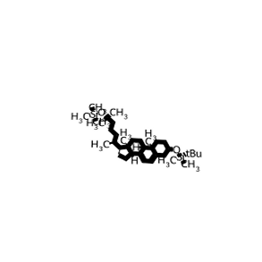 C[C@@H](CCCC(C)(C)O[Si](C)(C)C)[C@H]1CC[C@H]2C3=CC=C4CC(O[Si](C)(C)C(C)(C)C)CC[C@]4(C)[C@H]3CC[C@]12C